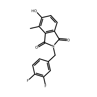 Cc1c(O)ccc2c1C(=O)N(Cc1ccc(F)c(F)c1)C2=O